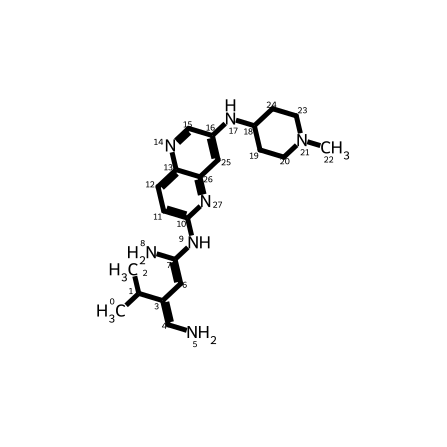 CC(C)C(=C/N)/C=C(\N)Nc1ccc2ncc(NC3CCN(C)CC3)cc2n1